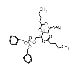 CCCCC(=O)O[C@@H](CN=[N+]=[N-])[C@H](COP(=O)(OCc1ccccc1)OCc1ccccc1)OC(=O)CCCC